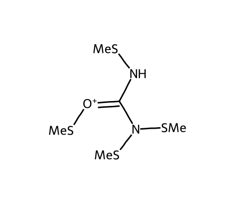 CSNC(=[O+]SC)N(SC)SC